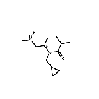 CC(C)C(=O)N(CC1CC1)[C@H](C)C[SH](C)C